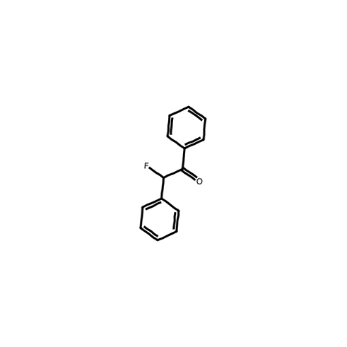 O=C(c1ccccc1)C(F)c1ccccc1